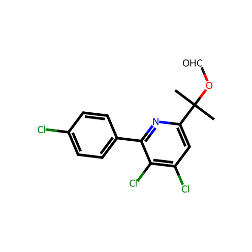 CC(C)(OC=O)c1cc(Cl)c(Cl)c(-c2ccc(Cl)cc2)n1